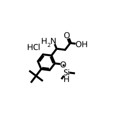 C[SiH](C)Oc1cc(C(C)(C)C)ccc1C(N)CC(=O)O.Cl